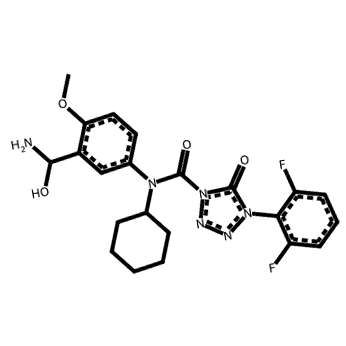 COc1ccc(N(C(=O)n2nnn(-c3c(F)cccc3F)c2=O)C2CCCCC2)cc1C(N)O